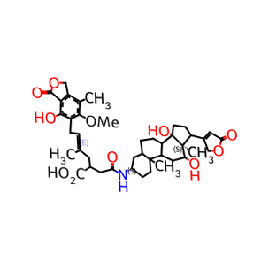 COc1c(C)c2c(c(O)c1C/C=C(\C)CC(CC(=O)N[C@H]1CCC3(C)C(CCC4C3CC(O)[C@]3(C)C(C5=CC(=O)OC5)CCC43O)C1)C(=O)O)C(=O)OC2